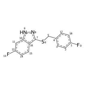 Fc1ccc(CSc2n[nH]c3cc(F)ccc23)cc1